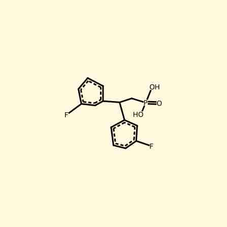 O=P(O)(O)CC(c1cccc(F)c1)c1cccc(F)c1